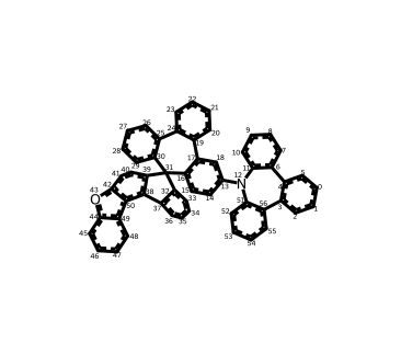 c1ccc2c(c1)-c1ccccc1N(c1ccc3c(c1)-c1ccccc1-c1ccccc1C31c3ccccc3-c3c1ccc1oc4ccccc4c31)c1ccccc1-2